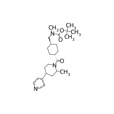 CC1CC(c2ccncc2)CCN1C(=O)[C@H]1CC[C@H](CN(C)C(=O)OC(C)(C)C)CC1